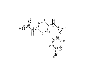 O=C(O)NC1CCC(NC2CC2c2ccc(Br)nc2)CC1